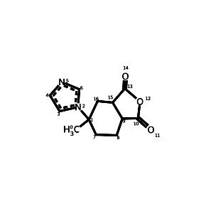 CC1(n2ccnc2)CCC2C(=O)OC(=O)C2C1